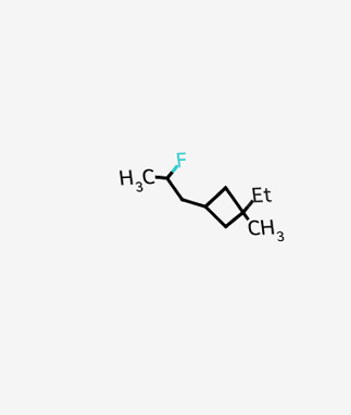 CCC1(C)CC(CC(C)F)C1